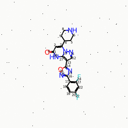 O=c1cc(C2CCNCC2)n2ncc(-c3nc(-c4ccc(F)cc4F)no3)c2[nH]1